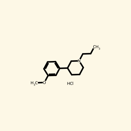 CCCN1CCCC(c2cccc(OC)c2)C1.Cl